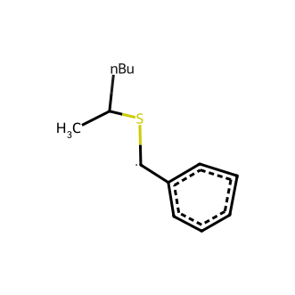 CCCCC(C)S[CH]c1ccccc1